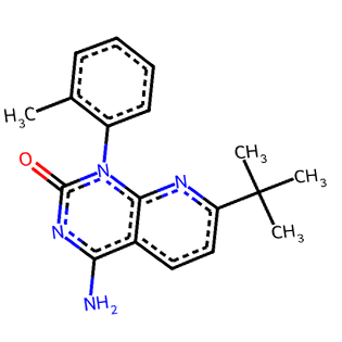 Cc1ccccc1-n1c(=O)nc(N)c2ccc(C(C)(C)C)nc21